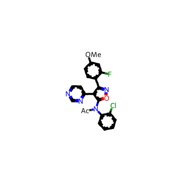 COc1ccc(-c2noc(N(C(C)=O)c3ccccc3Cl)c2-c2ccncn2)c(F)c1